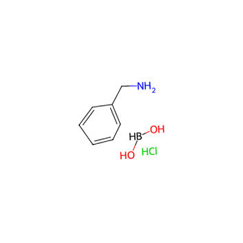 Cl.NCc1ccccc1.OBO